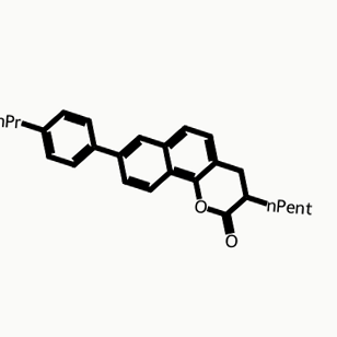 CCCCCC1Cc2ccc3cc(-c4ccc(CCC)cc4)ccc3c2OC1=O